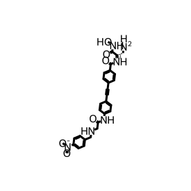 NC[C@H](NC(=O)c1ccc(C#Cc2ccc(NC(=O)CNCc3ccc([N+](=O)[O-])cc3)cc2)cc1)C(=O)NO